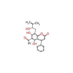 C=C(C)C(O)Cc1c(O)c(C(=O)C(C)C)c(O)c2c(-c3ccccc3)cc(=O)oc12